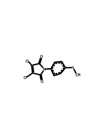 N#CSc1ccc(N2C(=O)C(Cl)=C(Cl)C2=O)cc1